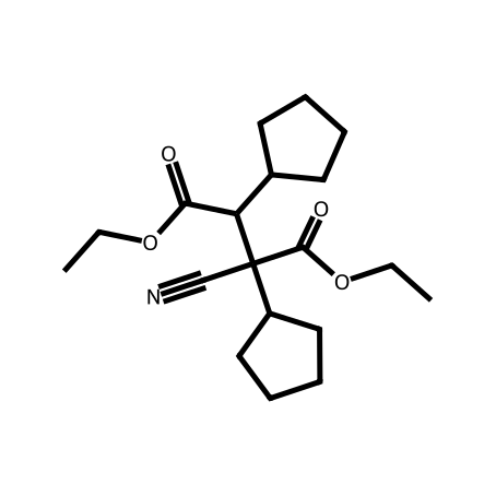 CCOC(=O)C(C1CCCC1)C(C#N)(C(=O)OCC)C1CCCC1